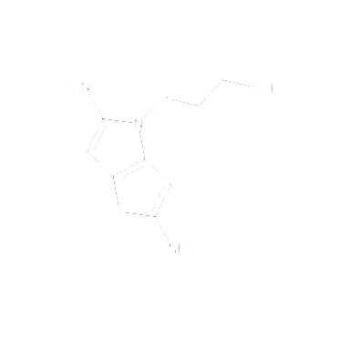 Nc1cc2c(cc(N)n2OCCO)s1